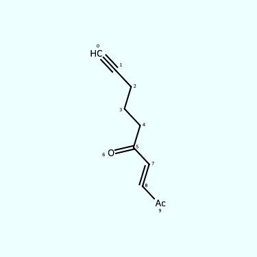 C#CCCCC(=O)/C=C/C(C)=O